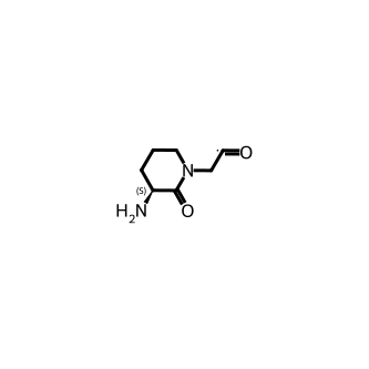 N[C@H]1CCCN(C[C]=O)C1=O